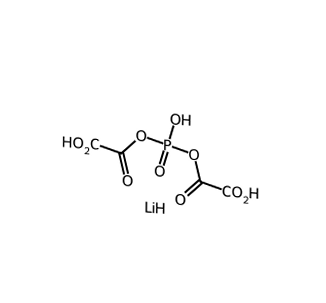 O=C(O)C(=O)OP(=O)(O)OC(=O)C(=O)O.[LiH]